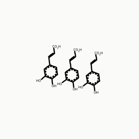 O=C(O)/C=C/c1ccc(O)c(O)c1.O=C(O)/C=C/c1ccc(O)c(O)c1.O=C(O)C=Cc1ccc(O)c(O)c1